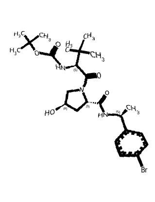 C[C@H](NC(=O)[C@@H]1C[C@@H](O)CN1C(=O)[C@@H](NC(=O)OC(C)(C)C)C(C)(C)C)c1ccc(Br)cc1